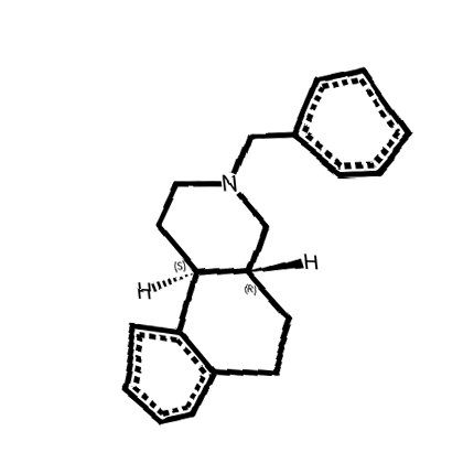 c1ccc(CN2CC[C@@H]3c4ccccc4CC[C@H]3C2)cc1